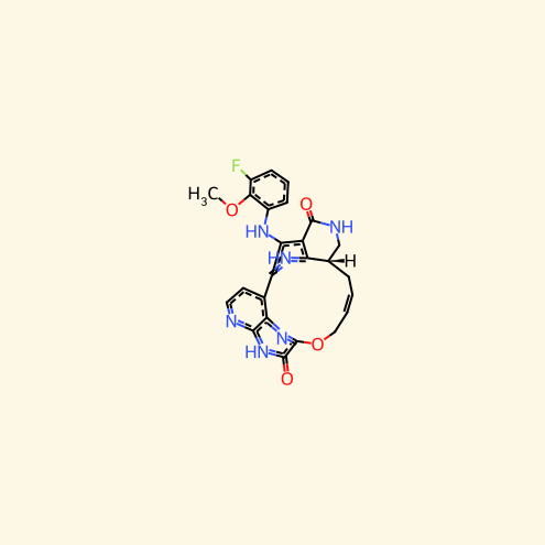 COc1c(F)cccc1Nc1c2[nH]c3c1C(=O)NC[C@@H]3C/C=C\COc1nc3c-2ccnc3[nH]c1=O